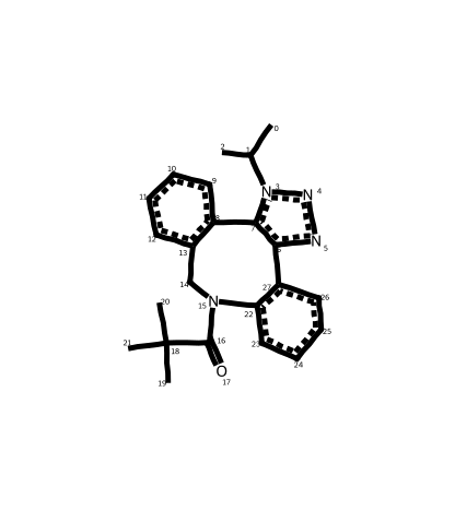 CC(C)n1nnc2c1-c1ccccc1CN(C(=O)C(C)(C)C)c1ccccc1-2